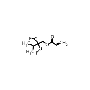 C=CC(=O)OCC(OF)(OF)[C](C)C